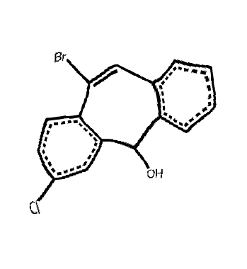 OC1c2ccccc2C=C(Br)c2ccc(Cl)cc21